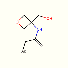 C=C(CC(C)=O)NC1(CO)COC1